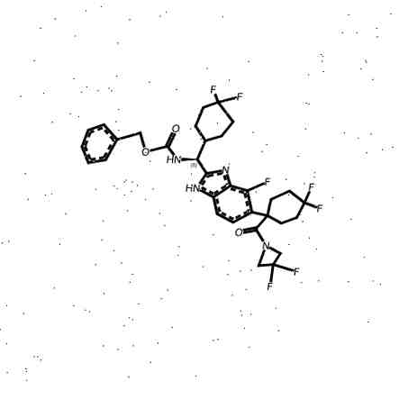 O=C(N[C@H](c1nc2c(F)c(C3(C(=O)N4CC(F)(F)C4)CCC(F)(F)CC3)ccc2[nH]1)C1CCC(F)(F)CC1)OCc1ccccc1